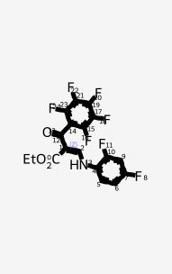 CCOC(=O)/C(=C\Nc1ccc(F)cc1F)C(=O)c1c(F)c(F)c(F)c(F)c1F